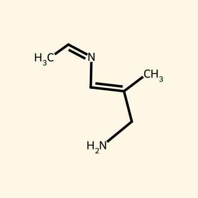 C/C=N\C=C(/C)CN